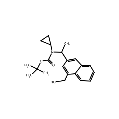 CC(c1cc(CO)c2ccccc2c1)N(C(=O)OC(C)(C)C)C1CC1